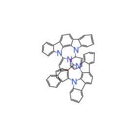 C1=CCC(n2c3ccccc3c3ccc4c5ccccc5n(-c5cc(-c6ccccc6)cc(-n6c7ccccc7c7ccc8c9ccccc9n(-c9ccccc9)c8c76)n5)c4c32)C=C1